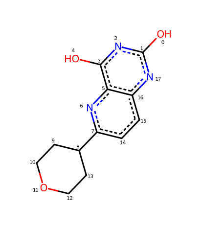 Oc1nc(O)c2nc(C3CCOCC3)ccc2n1